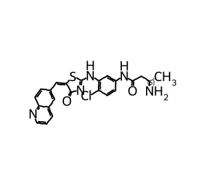 C[C@H](N)CC(=O)Nc1ccc(Cl)c(NC2=NC(=O)C(=Cc3ccc4ncccc4c3)S2)c1